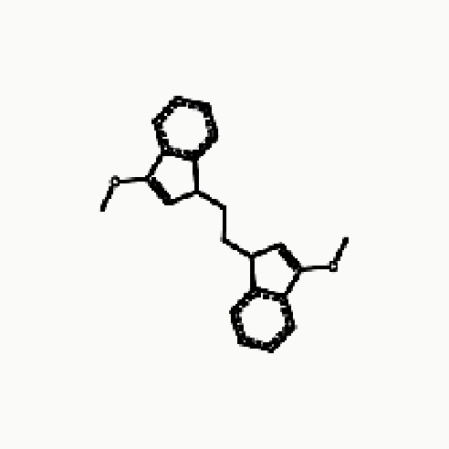 COC1=CC(CCC2C=C(OC)c3ccccc32)c2ccccc21